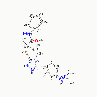 CCN(CC)c1ccc(-c2nnc(SC(C)(C)C(=O)Nc3ccccc3)n2CC)cc1